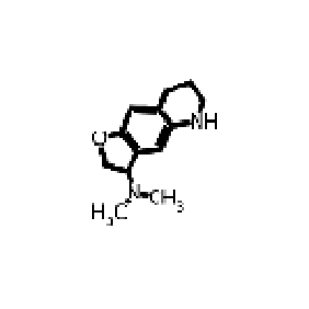 CN(C)C1COc2cc3c(cc21)NCCC3